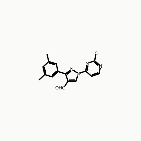 Cc1cc(C)cc(-c2nn(-c3ccnc(Cl)n3)cc2C=O)c1